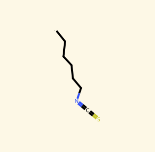 [CH2]CCCCCN=C=S